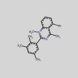 Cc1cc(C)c(C)c(-c2nc(C)c3c(C(C)C)cccc3[n+]2C)c1